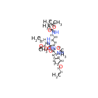 C=CCOc1ccc(C[C@H](NC(C)=O)C(=O)N[C@@H](CCCCNC(=O)OC(C)(C)C)C(=O)N[C@@H](CC=C)C(=O)OC)cc1